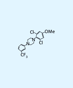 COc1cc(Cl)c(N2CCN(c3cccc(C(F)(F)F)c3)CC2)c(Cl)c1